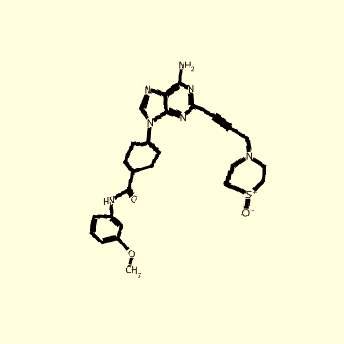 COc1cccc(NC(=O)C2CCC(n3cnc4c(N)nc(C#CCN5CC[S+]([O-])CC5)nc43)CC2)c1